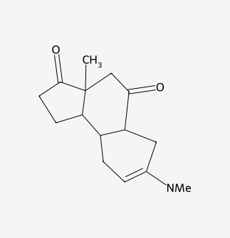 CNC1=CCC2C(C1)C(=O)CC1(C)C(=O)CCC21